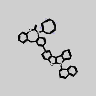 C=C1Oc2ccccc2Cc2cc(-c3ccc4c(c3)C3c5ccccc5N(c5cccc6ccccc56)C3O4)ccc2N1/C1=C/C=C\C=C/C=C\C1